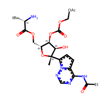 CCC(=O)Nc1ncnn2c([C@]3(C)O[C@H](COC(=O)[C@@H](N)C(C)(C)C)[C@@H](OC(=O)OCOC(C)=O)[C@H]3O)ccc12